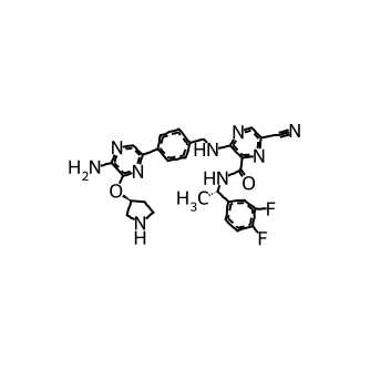 C[C@H](NC(=O)c1nc(C#N)cnc1NCc1ccc(-c2cnc(N)c(O[C@H]3CCNC3)n2)cc1)c1ccc(F)c(F)c1